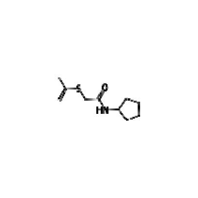 C=C(C)SCC(=O)NC1CCCC1